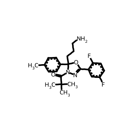 Cc1ccc(C2(CCCN)OC(c3cc(F)ccc3F)=NN2C(=O)C(C)(C)C)cc1